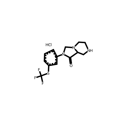 Cl.O=C1C2CNCCN2CN1c1cccc(SC(F)(F)F)c1